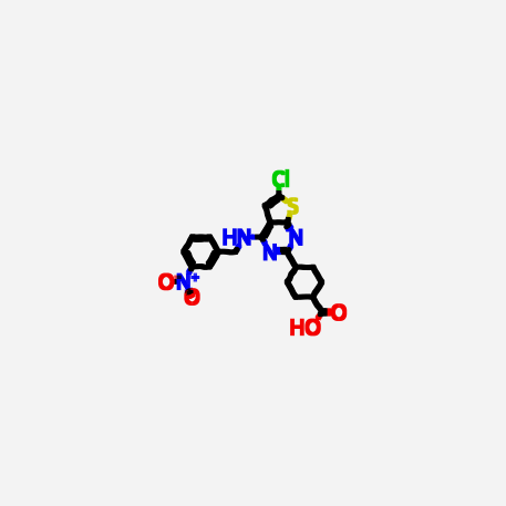 O=C(O)C1CCC(c2nc(NCc3cccc([N+](=O)[O-])c3)c3cc(Cl)sc3n2)CC1